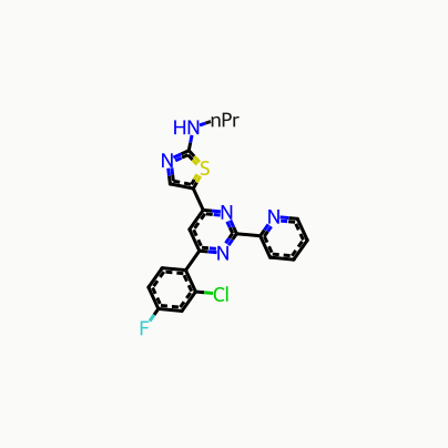 CCCNc1ncc(-c2cc(-c3ccc(F)cc3Cl)nc(-c3ccccn3)n2)s1